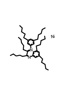 CCCCCC(=Nc1cc(CCCCC)cc(CCCCC)c1)C(CCCCC)=Nc1cc(CCCCC)cc(CCCCC)c1.[Ni]